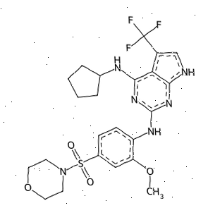 COc1cc(S(=O)(=O)N2CCOCC2)ccc1Nc1nc(NC2CCCC2)c2c(C(F)(F)F)c[nH]c2n1